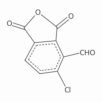 O=Cc1c(Cl)ccc2c1C(=O)OC2=O